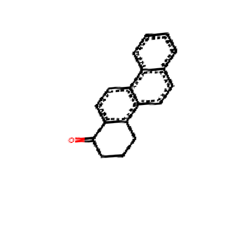 O=C1CCCc2c1ccc1c2ccc2ccccc21